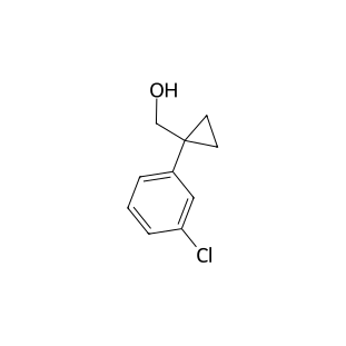 OCC1(c2cccc(Cl)c2)CC1